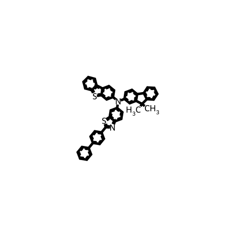 CC1(C)c2ccccc2-c2ccc(N(c3ccc4nc(-c5ccc(-c6ccccc6)cc5)sc4c3)c3ccc4c(c3)sc3ccccc34)cc21